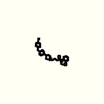 O=C(CCCN1CCC(c2ccc(Cc3ccc(F)cc3)cc2)CC1)N1CCOc2ccccc21